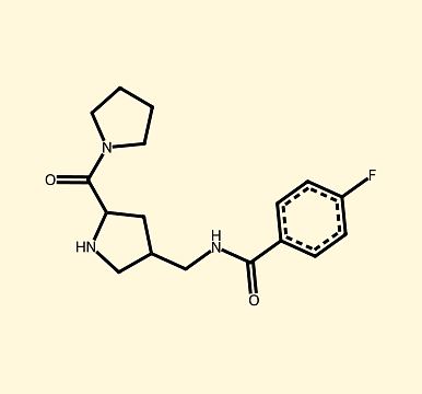 O=C(NCC1CNC(C(=O)N2CCCC2)C1)c1ccc(F)cc1